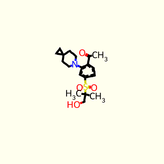 CC(=O)c1ccc(S(=O)(=O)C(C)(C)CO)cc1N1CCC2(CC1)CC2